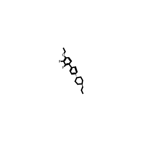 CCC[C@H]1CC[C@H](c2ccc(-c3ccc(OCC)c(F)c3F)cc2)CC1